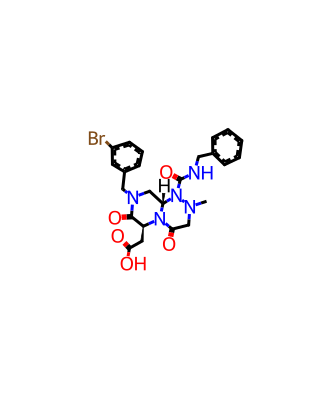 CN1CC(=O)N2[C@@H](CC(=O)O)C(=O)N(Cc3cccc(Br)c3)C[C@@H]2N1C(=O)NCc1ccccc1